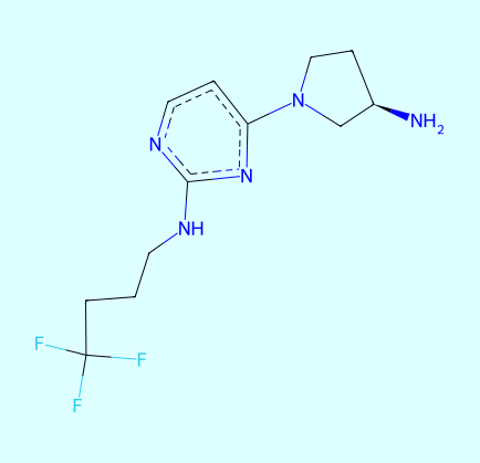 N[C@@H]1CCN(c2ccnc(NCCCC(F)(F)F)n2)C1